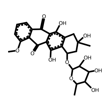 COc1cccc2c1C(=O)c1c(O)c3c(c(O)c1C2=O)CC(C)(O)CC3OC1OC(C)C(O)C(O)C1O